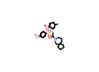 COc1ccc(S(=O)(=O)N(CC(=O)N2CCCC3(CCCC3)CC2)c2cc(C)ccc2OC)cc1